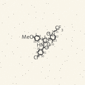 COc1ccc([C@@H]2CN(c3c(C)ccn(CCC(F)(F)F)c3=O)C(=O)[C@H]2NC(=O)c2ccc(Cl)cc2)cc1